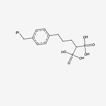 CC(C)Cc1ccc(CCCC(P(=O)(O)O)P(=O)(O)O)cc1